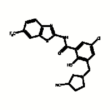 N#CC1CCN(Cc2cc(Cl)cc(C(=O)Nc3nc4ccc(C(F)(F)F)cc4s3)c2O)C1